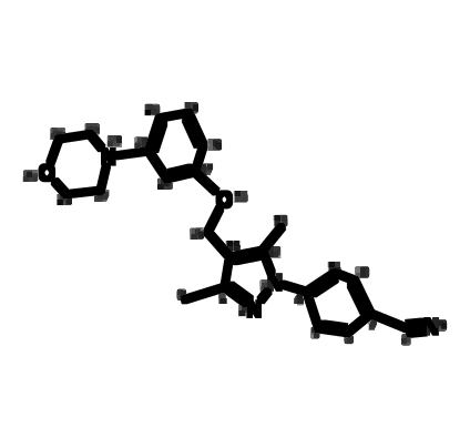 Cc1nn(-c2ccc(C#N)cc2)c(C)c1COc1cccc(N2CCOCC2)c1